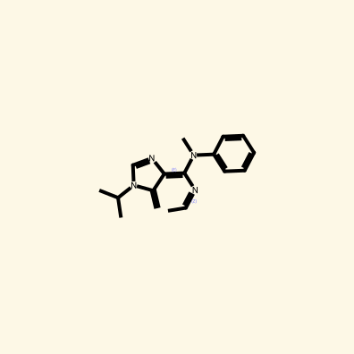 C=c1/c(=C(\N=C/C)N(C)c2ccccc2)ncn1C(C)C